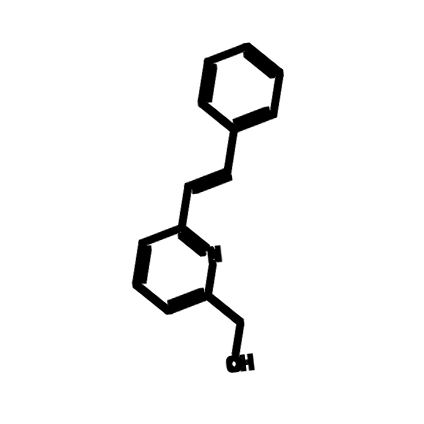 OCc1cccc(C=Cc2ccccc2)n1